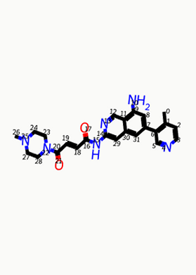 Cc1ccncc1-c1cc(N)c2cnc(NC(=O)/C=C/C(=O)N3CCN(C)CC3)cc2c1